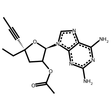 CC#C[C@@]1(CC)CC(OC(C)=O)[C@H](n2cnc3c(N)nc(N)nc32)O1